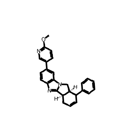 COc1ccc(-c2ccc3nc4n(c3c2)C[C@H]2C(c3ccccc3)C=CC[C@@H]42)cn1